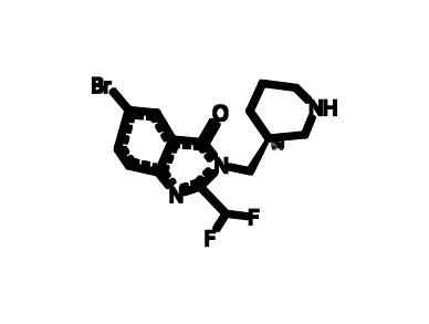 O=c1c2cc(Br)ccc2nc(C(F)F)n1C[C@H]1CCCNC1